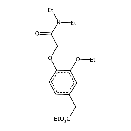 CCOC(=O)Cc1ccc(OCC(=O)N(CC)CC)c(OCC)c1